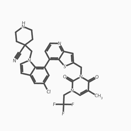 Cc1cn(CC(F)(F)F)c(=O)n(Cc2cc3nccc(-c4cc(Cl)cc5ccn(CC6(C#N)CCNCC6)c45)c3s2)c1=O